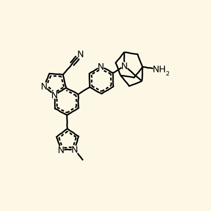 Cn1cc(-c2cc(-c3ccc(N4C5CC6CC4C(N)(C6)C5)nc3)c3c(C#N)cnn3c2)cn1